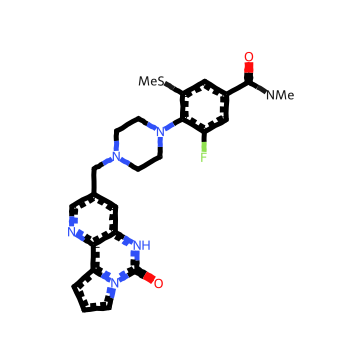 CNC(=O)c1cc(F)c(N2CCN(Cc3cnc4c(c3)[nH]c(=O)n3cccc43)CC2)c(SC)c1